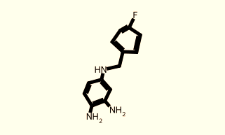 Nc1ccc(NCc2ccc(F)cc2)cc1N